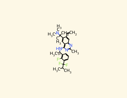 C=Cc1cc2nc(C)nc(N[C@H](C)c3cccc(C(F)(F)C(C)C)c3F)c2cc1C(C)(C)N(C)C